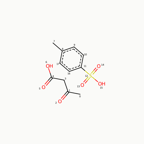 CC(=O)CC(=O)O.Cc1ccc(S(=O)(=O)O)cc1